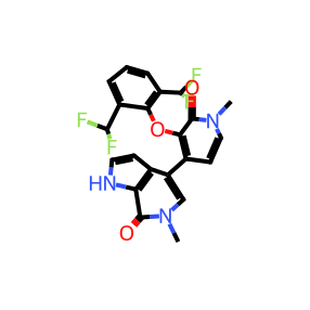 Cn1ccc(-c2cn(C)c(=O)c3[nH]ccc23)c(Oc2c(C(F)F)cccc2C(F)F)c1=O